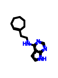 C1=C(CCNc2ncnc3[nH]ccc23)CCCCC1